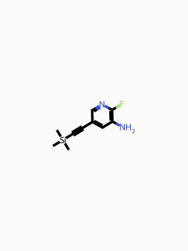 C[Si](C)(C)C#Cc1cnc(F)c(N)c1